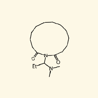 CCC(N(C)C)N1C(=O)CCCCCCCCCCCC1=O